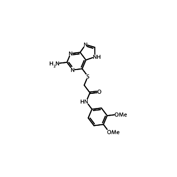 COc1ccc(NC(=O)CSc2nc(N)nc3nc[nH]c23)cc1OC